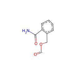 NC(=O)c1ccccc1CO[C]=O